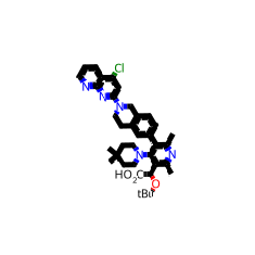 Cc1nc(C)c(C(OC(C)(C)C)C(=O)O)c(N2CCC(C)(C)CC2)c1-c1ccc2c(c1)CCN(c1cc(Cl)c3cccnc3n1)C2